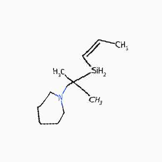 C/C=C\[SiH2]C(C)(C)N1CCCCC1